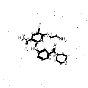 NCCNc1nc(Nc2cccc(C(=O)N3CCOCC3)c2)c(C(N)=O)cc1F